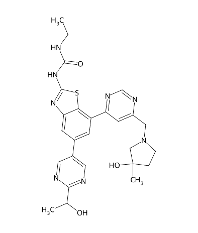 CCNC(=O)Nc1nc2cc(-c3cnc(C(C)O)nc3)cc(-c3cc(CN4CCC(C)(O)C4)ncn3)c2s1